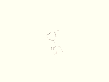 CC/C(=N\O)c1cccc(Cl)c1